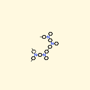 CC1=CCC(N(c2ccc(C)cc2)c2ccc(N(c3ccccc3)c3ccc(-c4ccc(N(c5ccccc5)c5ccc(N(c6ccccc6)c6ccc(C)cc6)cc5)cc4)cc3)cc2)C=C1